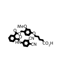 COc1cc(OCCCCC(=O)O)ccc1COC(=O)c1ccccc1C(=O)Nc1ccc(C#N)c(C#N)c1